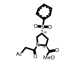 COC(=O)[C@@H]1C[C@@H](S(=O)(=O)c2ccccc2)CN1C(=O)CC(C)=O